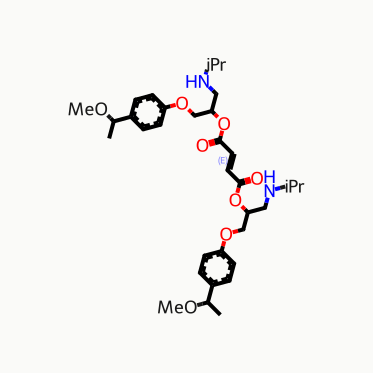 COC(C)c1ccc(OCC(CNC(C)C)OC(=O)/C=C/C(=O)OC(CNC(C)C)COc2ccc(C(C)OC)cc2)cc1